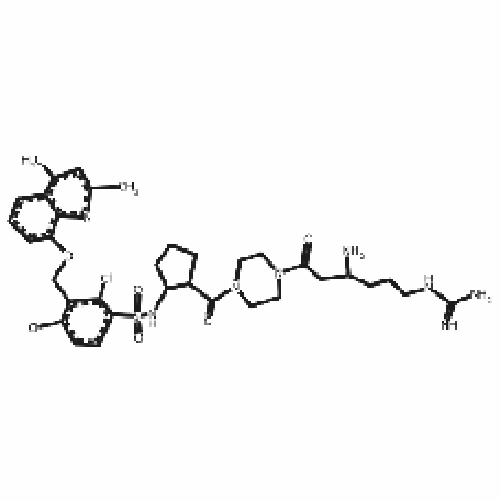 Cc1cc(C)c2cccc(OCc3c(Cl)ccc(S(=O)(=O)NC4CCCC4C(=O)N4CCN(C(=O)CC(N)CCCNC(=N)N)CC4)c3Cl)c2n1